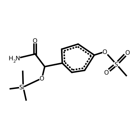 C[Si](C)(C)OC(C(N)=O)c1ccc(OS(C)(=O)=O)cc1